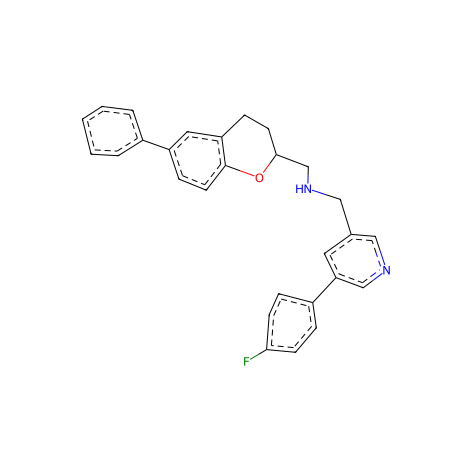 Fc1ccc(-c2cncc(CNCC3CCc4cc(-c5ccccc5)ccc4O3)c2)cc1